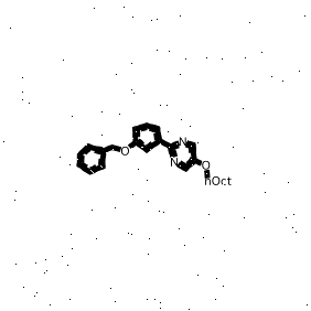 CCCCCCCCOc1cnc(-c2cccc(OCc3ccccc3)c2)nc1